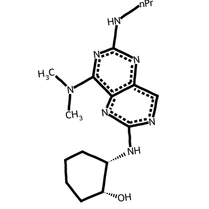 CCCNc1nc(N(C)C)c2nc(N[C@H]3CCCC[C@H]3O)ncc2n1